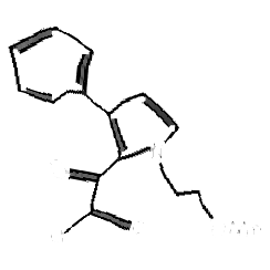 COCCn1ccc(-c2ccccc2)c1C(=O)C(=O)Cl